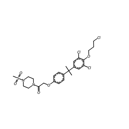 CC(C)(c1ccc(OCC(=O)N2CCN(S(C)(=O)=O)CC2)cc1)c1cc(Cl)c(OCCCCl)c(Cl)c1